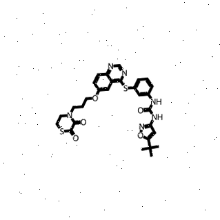 CC(C)(C)c1cc(NC(=O)Nc2cccc(Sc3ncnc4ccc(OCCCN5CCSC(=O)C5=O)cc34)c2)no1